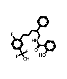 CC(F)(F)c1ccc(F)c(CCCC(CNC(=O)c2ccccc2O)c2ccccc2)c1